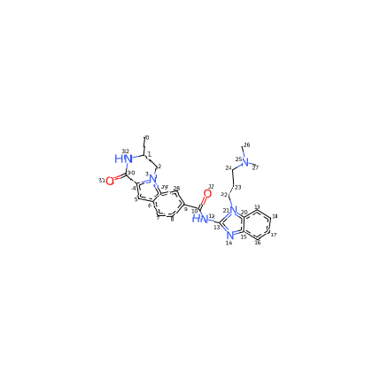 CC1Cn2c(cc3ccc(C(=O)Nc4nc5ccccc5n4CCCN(C)C)cc32)C(=O)N1